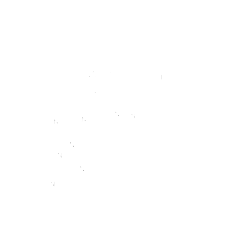 CC1(C)[C@H]2CC[C@]1(c1ccnc(-n3cnc(C#N)n3)n1)c1nnc(-c3c(F)cccc3F)cc12